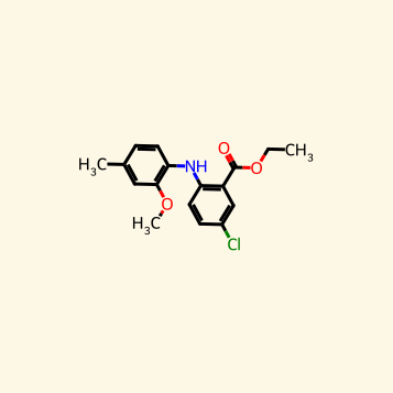 CCOC(=O)c1cc(Cl)ccc1Nc1ccc(C)cc1OC